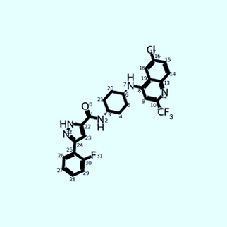 O=C(N[C@H]1CC[C@@H](Nc2cc(C(F)(F)F)nc3ccc(Cl)cc23)CC1)c1cc(-c2ccccc2F)n[nH]1